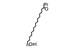 CCCCCCCCCCCCCCCCCCCCCCCCCC(=O)C(C)C